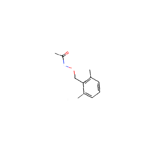 CCC(=O)NOCc1c(CC)cccc1C(=O)O